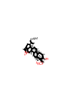 C=C(COC)[C@@H]1CC[C@]2(C(=C)O)CC[C@]3(C)C(CC[C@@H]4[C@@]5(C)CC[C@H](O)[C@@](C)(CO)[C@@H]5CC[C@]43C)[C@@H]12